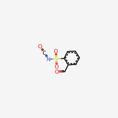 O=C=NS(=O)(=O)c1ccccc1C=O